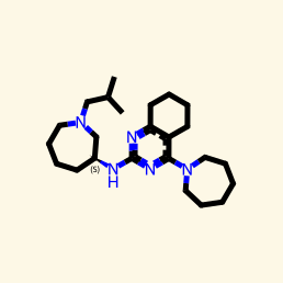 CC(C)CN1CCCC[C@H](Nc2nc3c(c(N4CCCCCC4)n2)CCCC3)C1